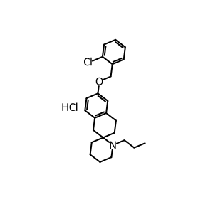 CCCN1CCCCC12CCc1cc(OCc3ccccc3Cl)ccc1C2.Cl